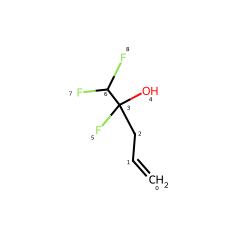 C=CCC(O)(F)C(F)F